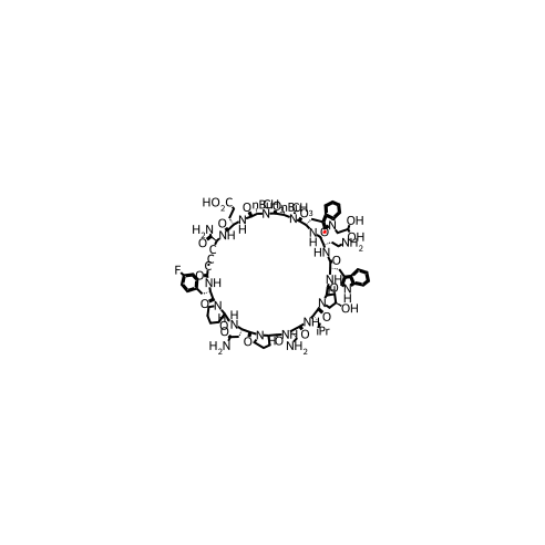 CCCC[C@H]1C(=O)N(C)[C@@H](CCCC)C(=O)N[C@@H](CCC(=O)O)C(=O)N[C@H](C(N)=O)CCCC(=O)N[C@@H](Cc2ccc(F)cc2)C(=O)N2CCCC[C@H]2C(=O)N[C@@H](CC(N)=O)C(=O)N2CCC[C@H]2C(=O)N[C@@H](CN)C(=O)N[C@@H](CC(C)C)C(=O)N2C[C@H](O)C[C@H]2C(=O)N[C@@H](Cc2c[nH]c3ccccc23)C(=O)N[C@@H](CCN)C(=O)N[C@@H](Cc2cn(CC(O)O)c3ccccc23)C(=O)N1C